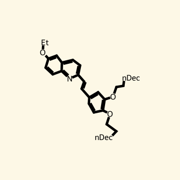 CCCCCCCCCCCCOc1ccc(C=Cc2ccc3cc(OCC)ccc3n2)cc1OCCCCCCCCCCCC